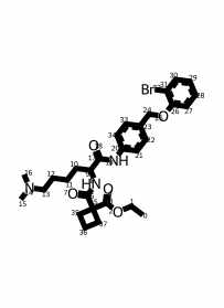 CCOC(=O)C1(C(=O)NC(CCCCN(C)C)C(=O)Nc2ccc(COc3ccccc3Br)cc2)CCC1